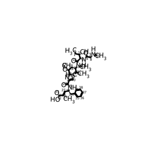 CCC(C)[C@H](NC(=O)CNC)C(=O)N(C)[C@H](CC(OC)c1nc(C(=O)N[C@H](/C=C(\C)C(=O)O)Cc2ccccc2)cs1)C(C)C